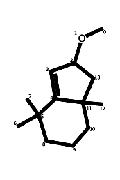 COC1C=C2C(C)(C)CCCC2(C)C1